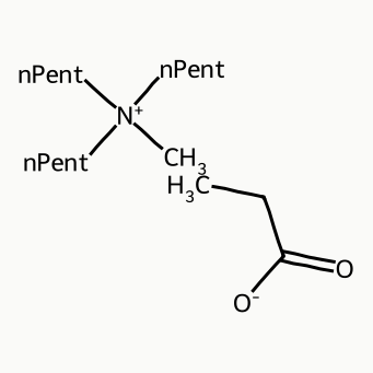 CCC(=O)[O-].CCCCC[N+](C)(CCCCC)CCCCC